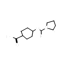 O=C(O)C1CCC(OC(F)N2CCCC2)CC1